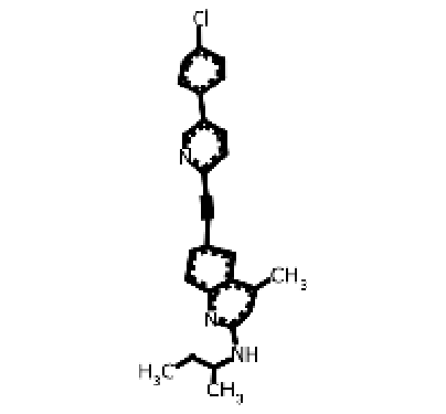 CCC(C)Nc1cc(C)c2cc(C#Cc3ccc(-c4ccc(Cl)cc4)cn3)ccc2n1